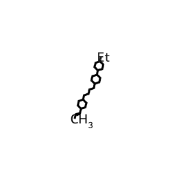 CC=CC1CCC(CCCCC2CCC(C3CCC(CC)CC3)CC2)CC1